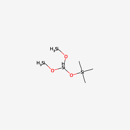 C[Si](C)(C)O[SiH](O[SiH3])O[SiH3]